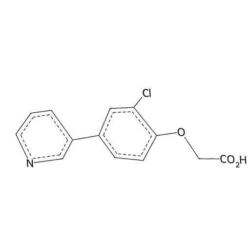 O=C(O)COc1ccc(-c2cccnc2)cc1Cl